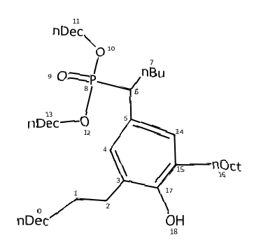 CCCCCCCCCCCCc1cc(C(CCCC)P(=O)(OCCCCCCCCCC)OCCCCCCCCCC)cc(CCCCCCCC)c1O